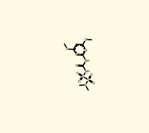 COc1cc(OC)nc(NC(=O)NS(=O)(=O)S(=O)(=O)N(C)C)n1